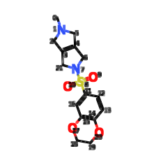 CN1CC2=C(C1)CN(S(=O)(=O)c1ccc3c(c1)OCCO3)C2